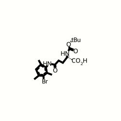 Cc1cc(C)c(NC(=O)CC[C@H](NC(=O)OC(C)(C)C)C(=O)O)c(C)c1Br